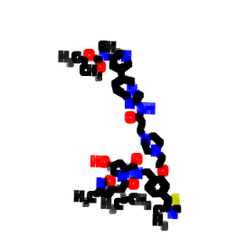 Cc1cc([C@H](C(=O)N2C[C@H](O)C[C@H]2C(=O)NCc2ccc(-c3scnc3C)cc2OCCN2CCN(CCC(=O)Nc3cn4cc(-c5cncc(N(C)C(=O)OC(C)C)c5)ccc4n3)CC2)C(C)C)on1